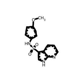 COc1ccc(NS(=O)(=O)c2c[nH]c3ncccc23)cc1